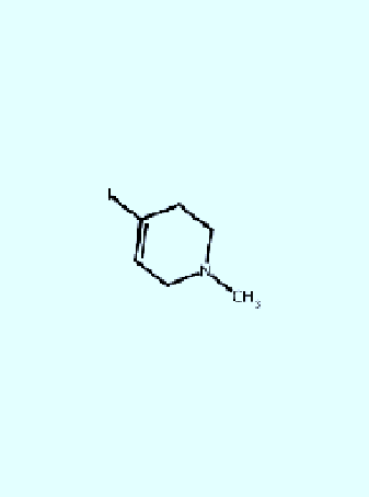 CN1CC=C(I)CC1